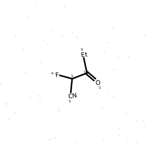 CCC(=O)C(F)C#N